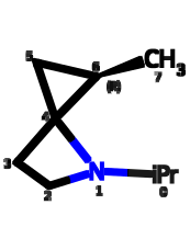 CC(C)N1CCC12C[C@H]2C